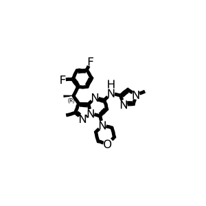 Cc1nn2c(N3CCOCC3)cc(Nc3cn(C)cn3)nc2c1[C@@H](C)c1ccc(F)cc1F